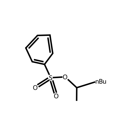 CCCCC(C)OS(=O)(=O)c1ccccc1